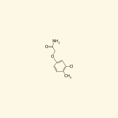 Cc1ccc(OCC(N)=O)cc1Cl